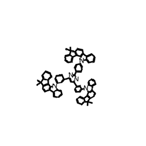 CC1(C)c2ccccc2-c2c1ccc1c3ccccc3n(-c3ccc(-c4nc(-c5cccc(-n6c7ccccc7c7ccc8c(c76)-c6ccccc6C8(C)C)c5)cc(-c5cccc(-n6c7ccccc7c7ccc8c(c76)-c6ccccc6C8(C)C)c5)n4)cc3)c21